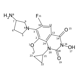 COc1c(N2CCC(N)C2)c(F)cc2c(=O)n(O)c(=O)n(C3CC3)c12